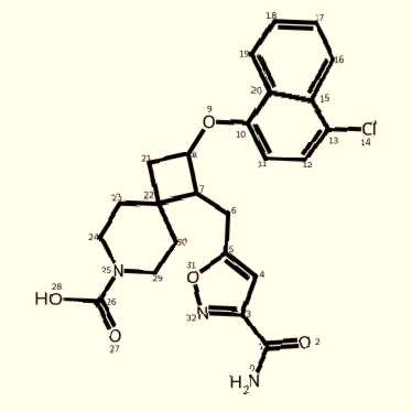 NC(=O)c1cc(CC2C(Oc3ccc(Cl)c4ccccc34)CC23CCN(C(=O)O)CC3)on1